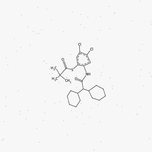 CC(C)(C)C(=O)Sc1cc(Cl)c(Cl)cc1NC(=O)C(C1CCCCC1)C1CCCCC1